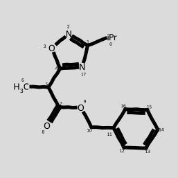 CC(C)c1noc(C(C)C(=O)OCc2ccccc2)n1